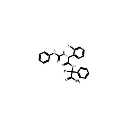 CC(C)C(NC(=O)[C@H](NC(=O)Nc1ccccc1)c1ccccc1Cl)(C(N)=O)c1ccccc1